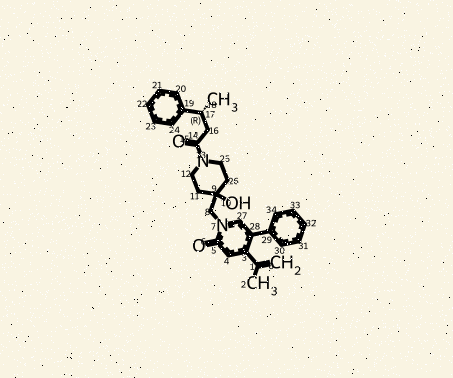 C=C(C)c1cc(=O)n(CC2(O)CCN(C(=O)C[C@@H](C)c3ccccc3)CC2)cc1-c1ccccc1